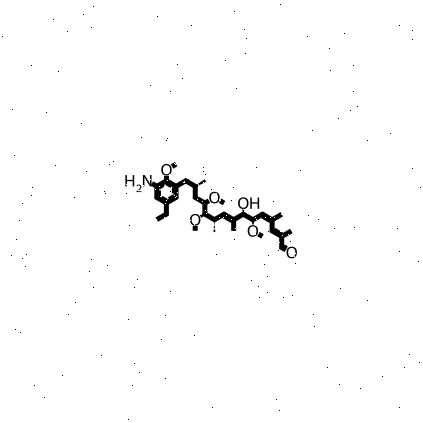 CCc1cc(N)c(OC)c(C[C@@H](C)CC(OC)[C@H](OC)[C@@H](C)/C=C(\C)[C@H](O)[C@H](/C=C(C)\C=C(/C)C=O)OC)c1